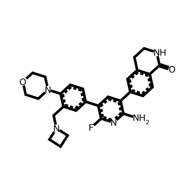 Nc1nc(F)c(-c2ccc(N3CCOCC3)c(CN3CCC3)c2)cc1-c1ccc2c(c1)CCNC2=O